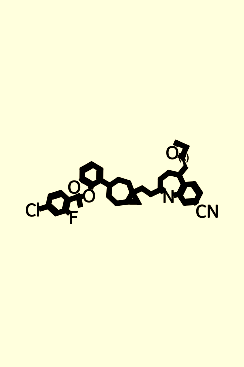 CC1(c2ccc(Cl)cc2F)Oc2cccc(C3CCC4CC4(CCC4=Nc5cc(C#N)ccc5C(C[C@@H]5CCO5)CC4)CC3)c2O1